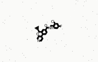 O=C(NCc1ccc(F)cc1Cl)c1ccc2c(c1)C(C1CC1)Oc1cnccc1-2